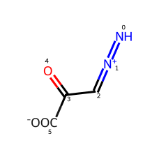 N=[N+]=CC(=O)C(=O)[O-]